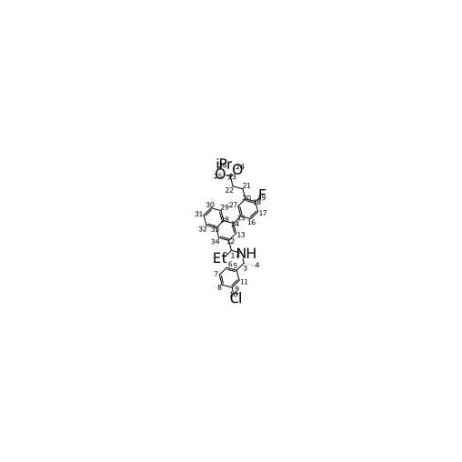 CCC(N[C@H](C)c1cccc(Cl)c1)c1cc(-c2ccc(F)c(CCC(=O)OC(C)C)c2)c2ccccc2c1